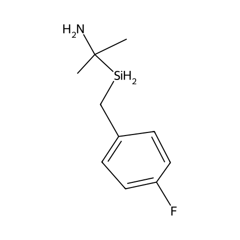 CC(C)(N)[SiH2]Cc1ccc(F)cc1